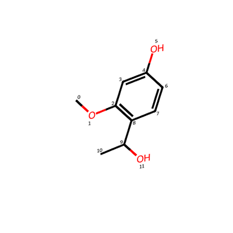 COc1cc(O)ccc1C(C)O